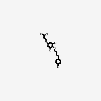 ClC(Cl)=CCOc1cc(Cl)c(OCCCCc2ccc(Cl)cc2)c(Cl)c1